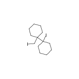 ICC1(C2(I)CCCCC2)CCCCC1